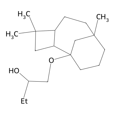 CCC(O)COC12CCCC(C)(CCC3C1CC3(C)C)C2